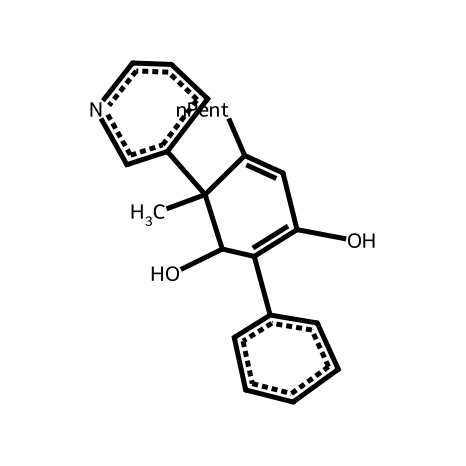 CCCCCC1=CC(O)=C(c2ccccc2)C(O)C1(C)c1cccnc1